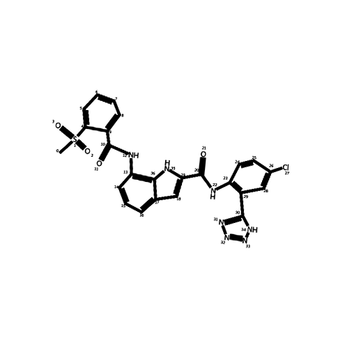 CS(=O)(=O)c1ccccc1C(=O)Nc1cccc2cc(C(=O)Nc3ccc(Cl)cc3-c3nnn[nH]3)[nH]c12